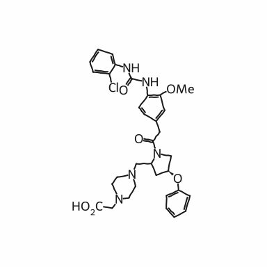 COc1cc(CC(=O)N2C[C@@H](Oc3ccccc3)CC2CN2CCN(CC(=O)O)CC2)ccc1NC(=O)Nc1ccccc1Cl